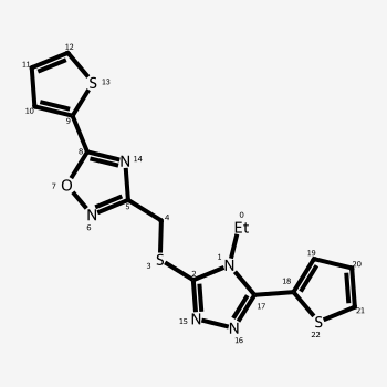 CCn1c(SCc2noc(-c3cccs3)n2)nnc1-c1cccs1